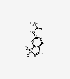 NC(=O)Oc1ccc2c(c1)S(=O)(=O)C=C2